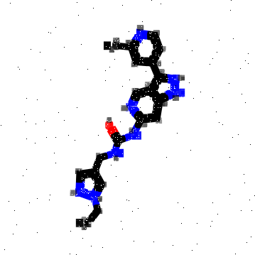 CCn1cc(CNC(=O)Nc2cc3[nH]nc(-c4ccnc(C)c4)c3cn2)cn1